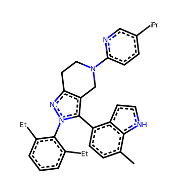 CCc1cccc(CC)c1-n1nc2c(c1-c1ccc(C)c3[nH]ccc13)CN(c1ccc(C(C)C)cn1)CC2